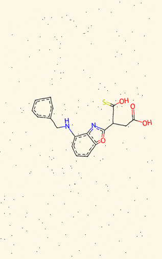 O=C(O)CC(C(O)=S)c1nc2c(NCc3ccccc3)cccc2o1